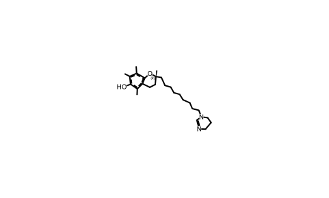 Cc1c(C)c2c(c(C)c1O)CC[C@@](C)(CCCCCCCCCN1C=NCCC1)O2